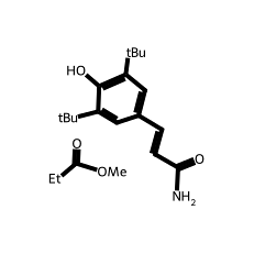 CC(C)(C)c1cc(C=CC(N)=O)cc(C(C)(C)C)c1O.CCC(=O)OC